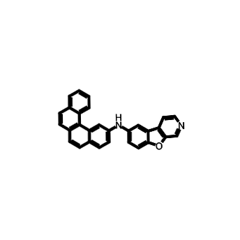 c1ccc2c(c1)ccc1ccc3ccc(Nc4ccc5oc6cnccc6c5c4)cc3c12